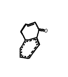 O=C1C=CCc2ccc[c]c21